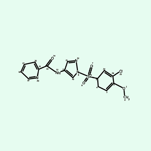 COC1=CCC(S(=O)(=O)n2cc(NC(=O)c3ccccn3)cn2)C=C1Cl